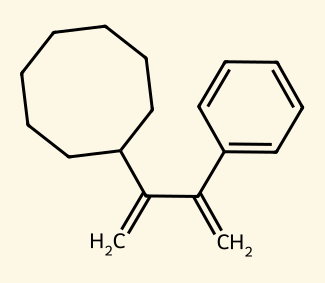 C=C(C(=C)C1CCCCCCC1)c1ccccc1